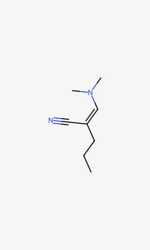 CCCC(C#N)=CN(C)C